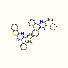 CC(C)(C)c1nc2c3ccccc3c3cc(CC(C)(C)c4nc5c(nc4-c4ccccc4)sc4ccccc45)ccc3c2nc1-c1ccccc1